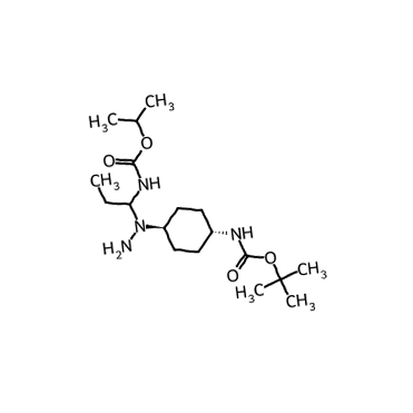 CCC(NC(=O)OC(C)C)N(N)[C@H]1CC[C@H](NC(=O)OC(C)(C)C)CC1